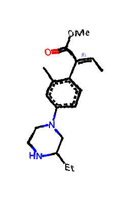 C/C=C(/C(=O)OC)c1ccc(N2CCNC(CC)C2)cc1C